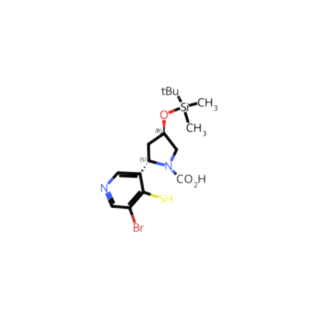 CC(C)(C)[Si](C)(C)O[C@@H]1C[C@@H](c2cncc(Br)c2S)N(C(=O)O)C1